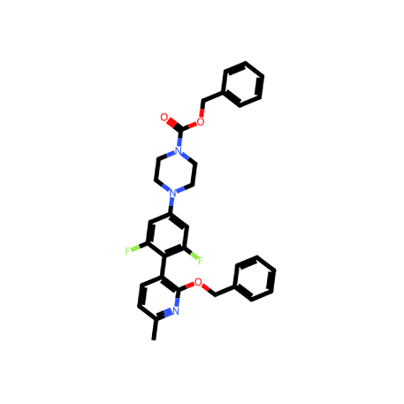 Cc1ccc(-c2c(F)cc(N3CCN(C(=O)OCc4ccccc4)CC3)cc2F)c(OCc2ccccc2)n1